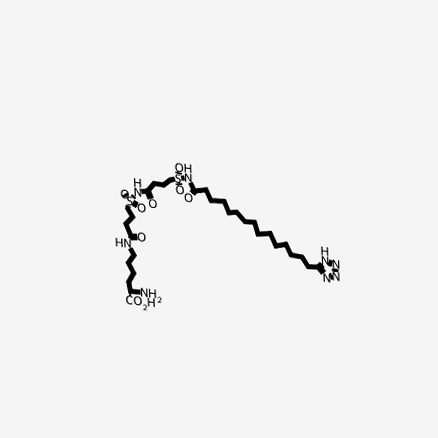 N[C@@H](CCCCNC(=O)CCCS(=O)(=O)NC(=O)CCCS(=O)(=O)NC(=O)CCCCCCCCCCCCCCc1nnn[nH]1)C(=O)O